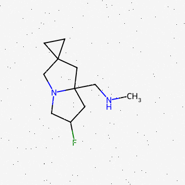 CNCC12CC(F)CN1CC1(CC1)C2